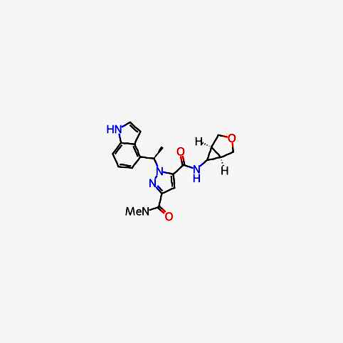 CNC(=O)c1cc(C(=O)NC2[C@H]3COC[C@@H]23)n([C@H](C)c2cccc3[nH]ccc23)n1